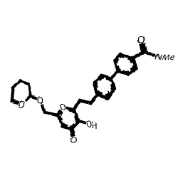 CNC(=O)c1ccc(-c2ccc(CCc3oc(COC4CCCCO4)cc(=O)c3O)cc2)cc1